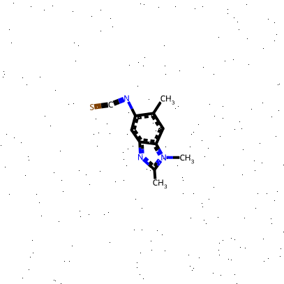 Cc1cc2c(cc1N=C=S)nc(C)n2C